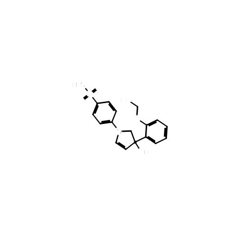 CCOc1ccccc1C1(C)C=CN(c2ccc(S(N)(=O)=O)cc2)C1